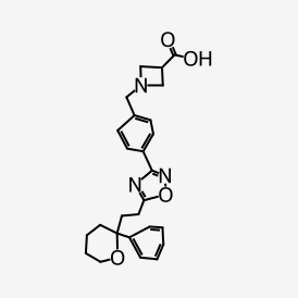 O=C(O)C1CN(Cc2ccc(-c3noc(CCC4(c5ccccc5)CCCCO4)n3)cc2)C1